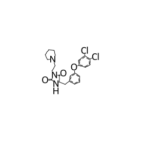 O=C1NC(Cc2cccc(Oc3ccc(Cl)c(Cl)c3)c2)C(=O)N1CCN1CCCCC1